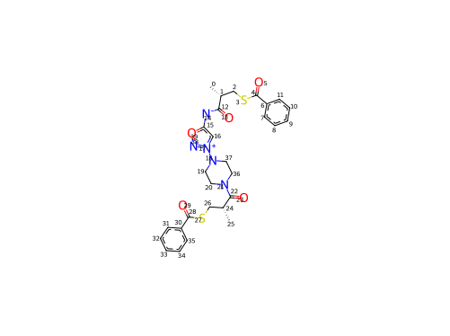 C[C@H](CSC(=O)c1ccccc1)C(=O)[N-]c1c[n+](N2CCN(C(=O)[C@H](C)CSC(=O)c3ccccc3)CC2)no1